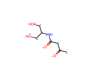 CC(=O)CC(=O)NC(CO)CO